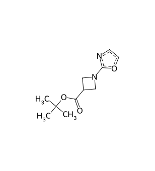 CC(C)(C)OC(=O)C1CN(c2ncco2)C1